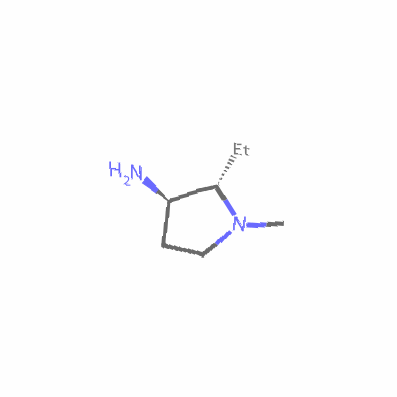 CC[C@H]1[C@H](N)CCN1C